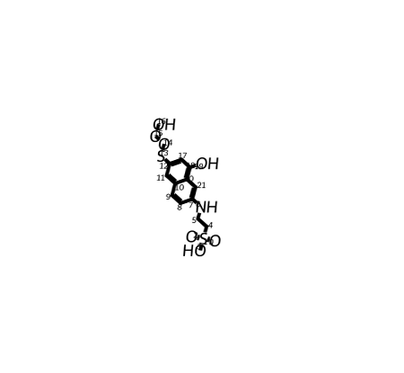 O=S(=O)(O)CCNc1ccc2cc(SOOO)cc(O)c2c1